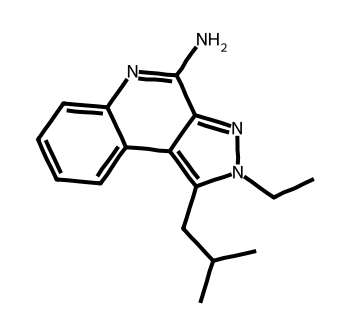 CCn1nc2c(N)nc3ccccc3c2c1CC(C)C